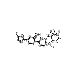 Cc1cnc(-c2ccc(-c3ccc(N(C)C4CCN(C)C(C)(C)C4C)nn3)c(O)c2)o1